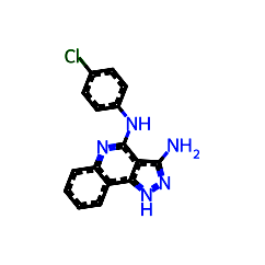 Nc1n[nH]c2c1c(Nc1ccc(Cl)cc1)nc1ccccc12